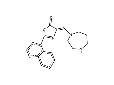 O=C1OC(c2cccc3ccccc23)=NC1=CN1CCCNCC1